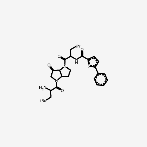 CC(C)CC(NC(=O)c1ccc(-c2ccccc2)s1)C(=O)N1CCC2C1C(=O)CN2C(=O)C(N)CC(C)(C)C